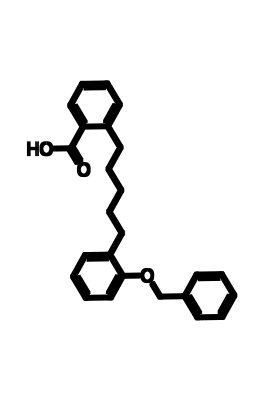 O=C(O)c1ccccc1CCCCCc1ccccc1OCc1ccccc1